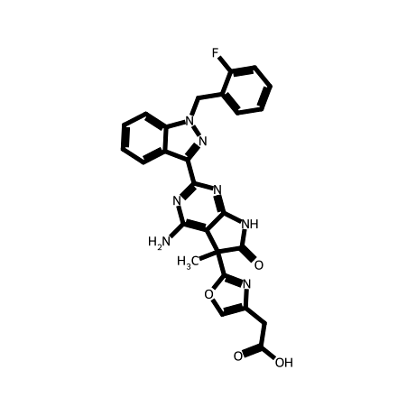 CC1(c2nc(CC(=O)O)co2)C(=O)Nc2nc(-c3nn(Cc4ccccc4F)c4ccccc34)nc(N)c21